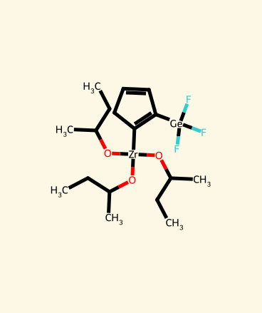 CCC(C)[O][Zr]([O]C(C)CC)([O]C(C)CC)[C]1=[C]([Ge]([F])([F])[F])C=CC1